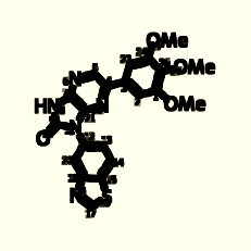 COc1cc(-c2cnc3[nH]c(=O)n(-c4ccc5scnc5c4)c3n2)cc(OC)c1OC